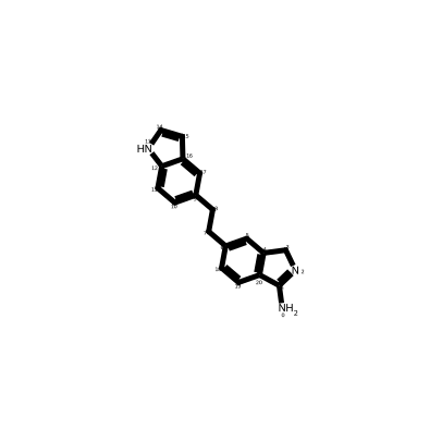 NC1=NCc2cc(CCc3ccc4[nH]ccc4c3)ccc21